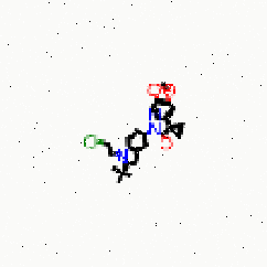 CC(C)(C)c1cc2cc(NC(=O)C3(c4ccc5c(c4)OCO5)CC3)ccc2n1CCCl